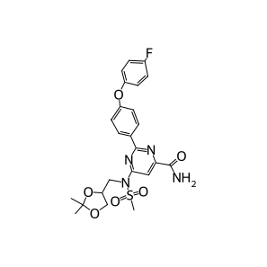 CC1(C)OCC(CN(c2cc(C(N)=O)nc(-c3ccc(Oc4ccc(F)cc4)cc3)n2)S(C)(=O)=O)O1